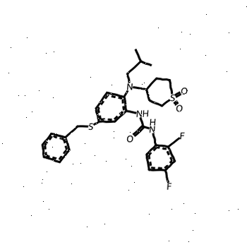 CC(C)CN(c1ccc(SCc2ccccc2)cc1NC(=O)Nc1ccc(F)cc1F)C1CCS(=O)(=O)CC1